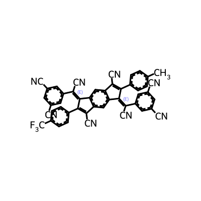 Cc1ccc(C2=C(C#N)c3cc4c(cc3/C2=C(\C#N)c2cc(C#N)cc(C#N)c2)C(C#N)=C(c2ccc(C(F)(F)F)cc2)/C4=C(/C#N)c2cc(C#N)cc(C#N)c2)cc1